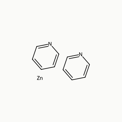 [Zn].c1ccncc1.c1ccncc1